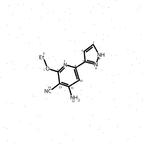 CCOc1nc(-c2cc[nH]n2)cc(N)c1C#N